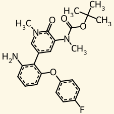 CN(C(=O)OC(C)(C)C)c1cc(-c2c(N)cccc2Oc2ccc(F)cc2)cn(C)c1=O